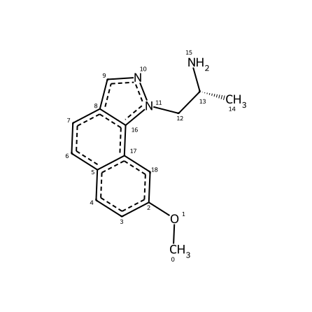 COc1ccc2ccc3cnn(C[C@@H](C)N)c3c2c1